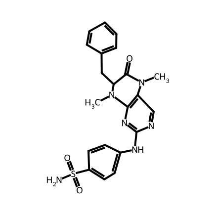 CN1C(=O)C(Cc2ccccc2)N(C)c2nc(Nc3ccc(S(N)(=O)=O)cc3)ncc21